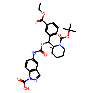 CCOC(=O)c1cccc(C(OC(=O)Nc2ccc3c(cnn3C(=O)O)c2)[C@@H]2CCCCN2C(=O)OC(C)(C)C)c1